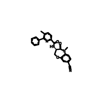 Cc1ccc(C(=O)N[C@H]2COc3cc(C#N)ccc3N(C)C2=O)nc1-c1ccccc1